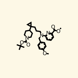 COC(=O)c1cccc(N(CCCC2(C3CCN(C(=O)OC(C)(C)C)CC3)CC2)Cc2ccc(OC)cc2)n1